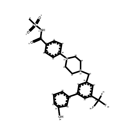 CS(=O)(=O)NC(=O)c1ccc(N2CCN(Cc3cc(-c4cccc(O)c4)cc(C(F)(F)F)c3)CC2)cc1